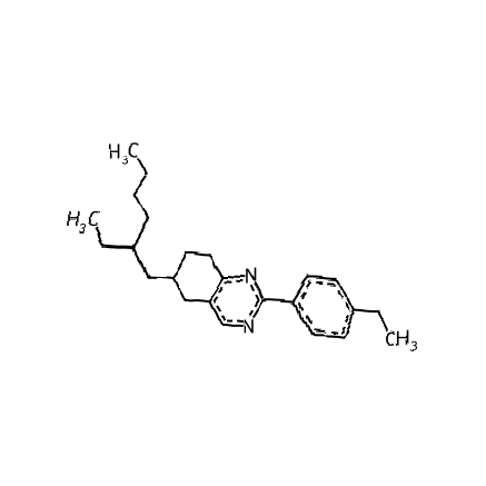 CCCCC(CC)CC1CCc2nc(-c3ccc(CC)cc3)ncc2C1